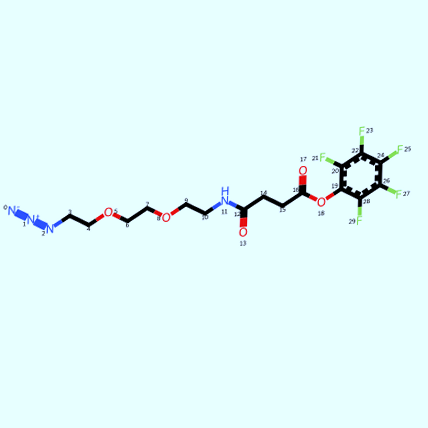 [N-]=[N+]=NCCOCCOCCNC(=O)CCC(=O)Oc1c(F)c(F)c(F)c(F)c1F